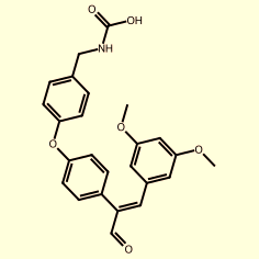 COc1cc(/C=C(/C=O)c2ccc(Oc3ccc(CNC(=O)O)cc3)cc2)cc(OC)c1